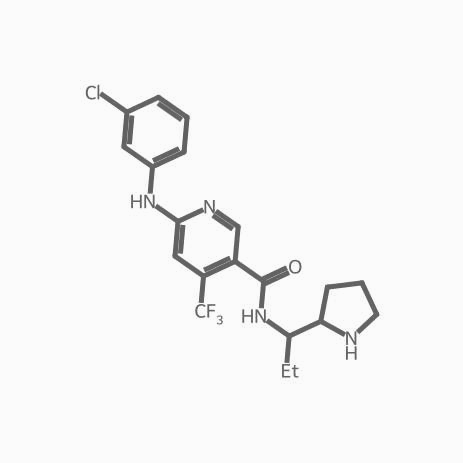 CCC(NC(=O)c1cnc(Nc2cccc(Cl)c2)cc1C(F)(F)F)C1CCCN1